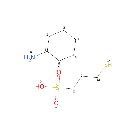 NC1CCCCC1.O=S(=O)(O)CCCS